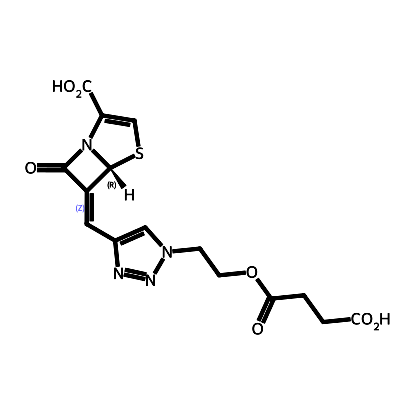 O=C(O)CCC(=O)OCCn1cc(/C=C2/C(=O)N3C(C(=O)O)=CS[C@H]23)nn1